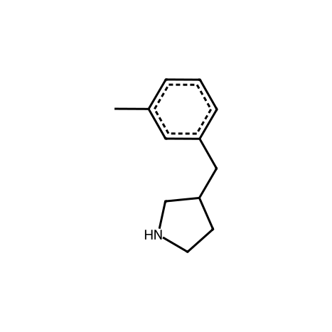 Cc1cccc(CC2CCNC2)c1